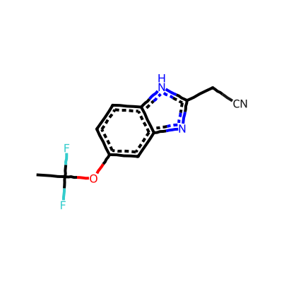 CC(F)(F)Oc1ccc2[nH]c(CC#N)nc2c1